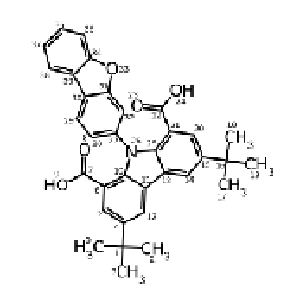 CC(C)(C)c1cc(C(=O)O)c2c(c1)c1cc(C(C)(C)C)cc(C(=O)O)c1n2-c1ccc2c(c1)oc1ccccc12